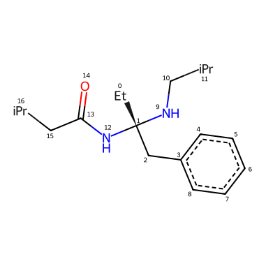 CC[C@](Cc1ccccc1)(NCC(C)C)NC(=O)CC(C)C